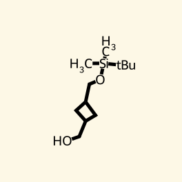 CC(C)(C)[Si](C)(C)OCC1CC(CO)C1